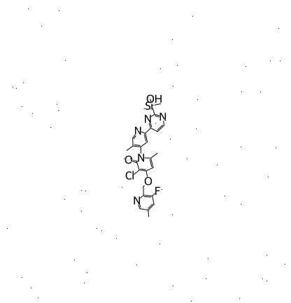 Cc1cnc(COc2cc(C)n(-c3cc(-c4ccnc([Si](C)(C)O)n4)ncc3C)c(=O)c2Cl)c(F)c1